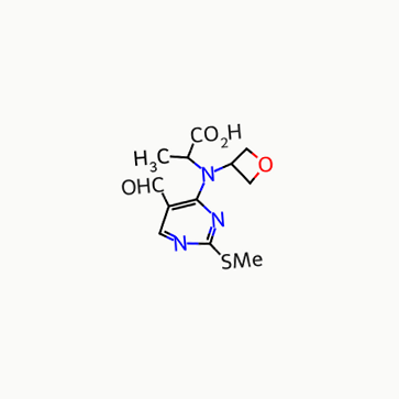 CSc1ncc(C=O)c(N(C2COC2)C(C)C(=O)O)n1